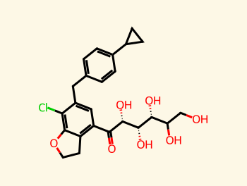 O=C(c1cc(Cc2ccc(C3CC3)cc2)c(Cl)c2c1CCO2)[C@H](O)[C@@H](O)[C@H](O)C(O)CO